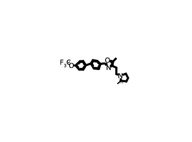 Cc1oc(-c2ccc(-c3ccc(OC(F)(F)F)cc3)cc2)nc1CCN1CCC[C@H]1C